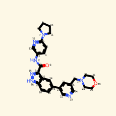 O=C(Nc1ccc(N2CCCC2)nc1)c1n[nH]c2ccc(-c3cncc(CN4CCOCC4)c3)cc12